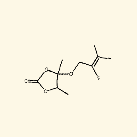 CC(C)=C(F)COC1(C)OC(=O)OC1C